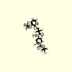 C[C@H]1CC(NC(=O)C(C)(C)COc2ncccc2OC(F)(F)F)CCN1C(=O)OC(C)(C)C